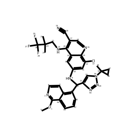 COc1nccc2c(C(Nc3cc(Cl)c4ncc(C#N)c(NCC(C)(C)C(F)(F)F)c4c3)c3cn(C4(C)CC4)nn3)cccc12